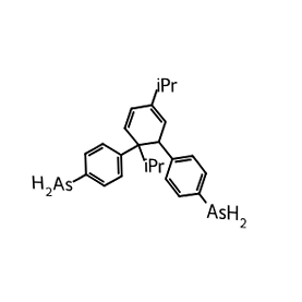 CC(C)C1=CC(c2ccc([AsH2])cc2)C(c2ccc([AsH2])cc2)(C(C)C)C=C1